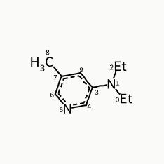 CCN(CC)c1cncc(C)c1